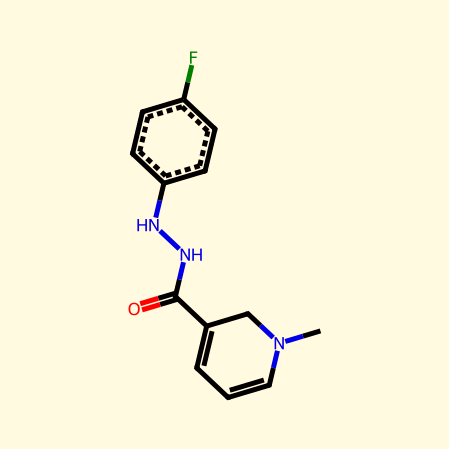 CN1C=CC=C(C(=O)NNc2ccc(F)cc2)C1